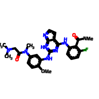 CNC(=O)c1c(F)cccc1Nc1nc(Nc2cc(N(C)C(=O)CN(C)C)ccc2OC)[nH]c2nccc1-2